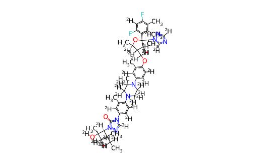 [2H]O[C@@](C)(C([2H])([2H])[2H])[C@@]([2H])(n1nc([2H])n(-c2c([2H])c([2H])c(N3C([2H])([2H])C([2H])([2H])N(c4c([2H])c([2H])c(OC([2H])([2H])[C@]5([2H])C([2H])(C)O[C@](c6c(C)c(C)c(F)c([2H])c6F)([C@]([2H])(C)n6nc([2H])nc6[2H])C5([2H])[2H])c(C)c4[2H])C([2H])(C)C3([2H])[2H])c(C)c2[2H])c1=O)C(C)(C)C([2H])([2H])C